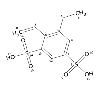 C=Cc1c(CC)cc(S(=O)(=O)O)cc1S(=O)(=O)O